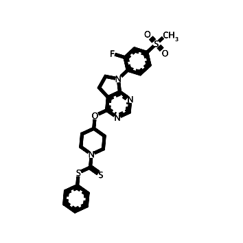 CS(=O)(=O)c1ccc(N2CCc3c(OC4CCN(C(=S)Sc5ccccc5)CC4)ncnc32)c(F)c1